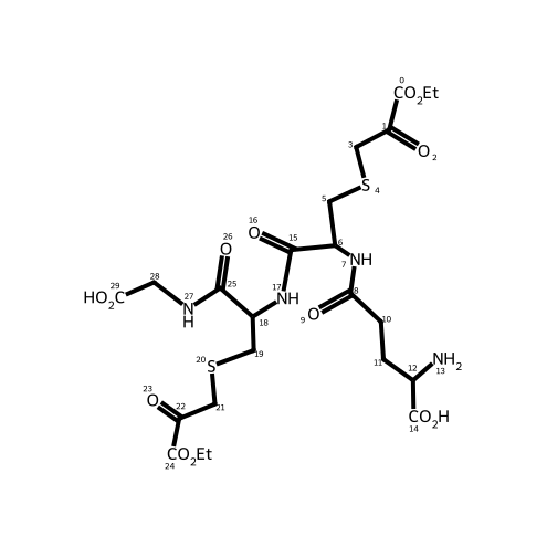 CCOC(=O)C(=O)CSCC(NC(=O)CCC(N)C(=O)O)C(=O)NC(CSCC(=O)C(=O)OCC)C(=O)NCC(=O)O